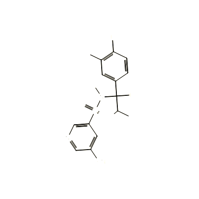 CCN(C(F)(c1ccc(F)c(F)c1)C(F)F)S(=O)(=O)c1cncc(C#N)c1